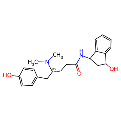 CN(C)[C@H](CCC(=O)NC1CC(O)c2ccccc21)Cc1ccc(O)cc1